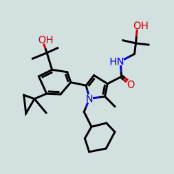 Cc1c(C(=O)NCC(C)(C)O)cc(-c2cc(C(C)(C)O)cc(C3(C)CC3)c2)n1CC1CCCCC1